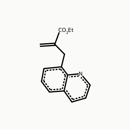 C=C(Cc1cccc2cccnc12)C(=O)OCC